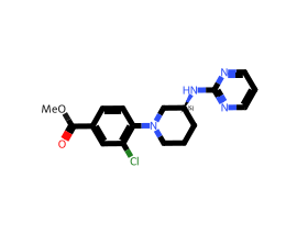 COC(=O)c1ccc(N2CCC[C@H](Nc3ncccn3)C2)c(Cl)c1